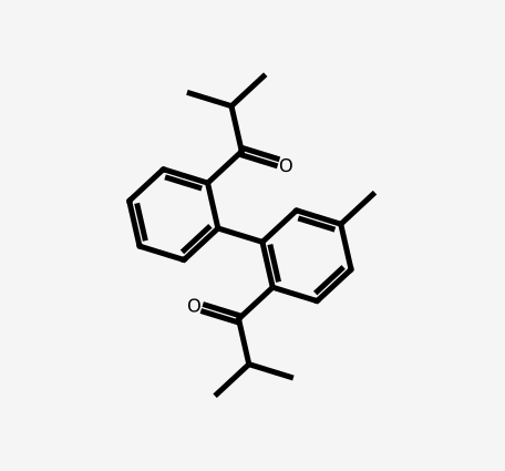 Cc1ccc(C(=O)C(C)C)c(-c2ccccc2C(=O)C(C)C)c1